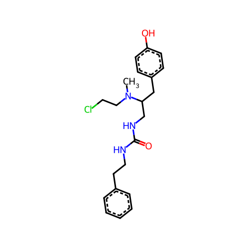 CN(CCCl)C(CNC(=O)NCCc1ccccc1)Cc1ccc(O)cc1